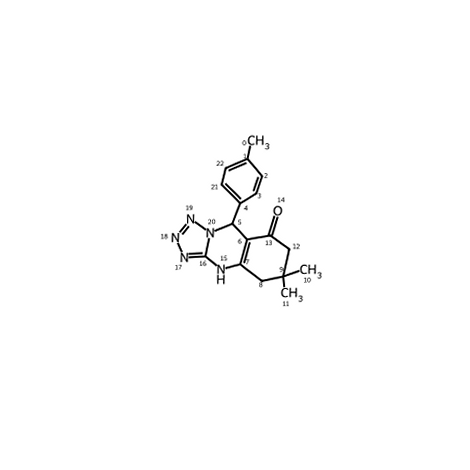 Cc1ccc(C2C3=C(CC(C)(C)CC3=O)Nc3nnnn32)cc1